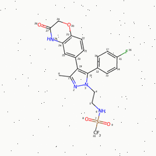 Cc1nn(CCNS(=O)(=O)C(F)(F)F)c(-c2ccc(F)cc2)c1-c1ccc2c(c1)NC(=O)CO2